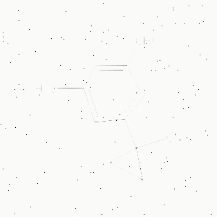 Cc1cc(C=O)cc(C2(C#N)CC2)c1